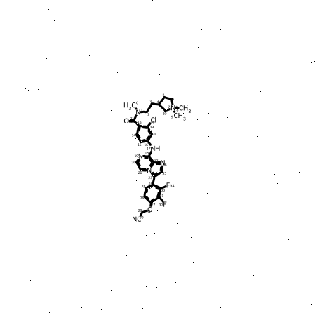 CN(CCC1CC[N+](C)(C)C1)C(=O)c1ccc(Nc2nccn3c(-c4ccc(OCC#N)c(F)c4F)cnc23)cc1Cl